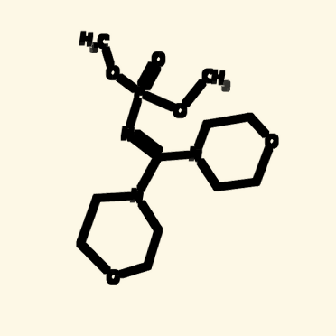 COP(=O)(N=C(N1CCOCC1)N1CCOCC1)OC